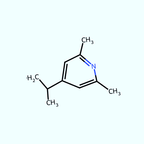 [CH2]C(C)c1cc(C)nc(C)c1